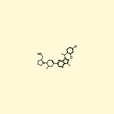 Cc1nn(C(C)c2ccc(Cl)cc2Cl)c2nc(C3=CCC(N4CCCC4CO)C(C)C3)cnc12